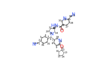 N#Cc1ccc(C(c2ccc(OC3CCCC3)nc2)N2CC[C@@H](NC(=O)c3ccc(C#N)nc3)C2)cc1